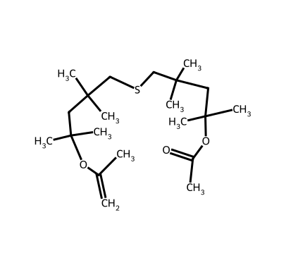 C=C(C)OC(C)(C)CC(C)(C)CSCC(C)(C)CC(C)(C)OC(C)=O